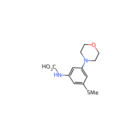 CSc1cc(NC(=O)O)cc(N2CCOCC2)c1